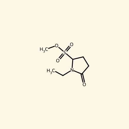 CCN1C(=O)CCC1S(=O)(=O)OC